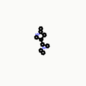 c1ccc(-c2cc(-c3cc4cc(c3)-c3ccccc3-c3cc5ccccc5cc3Nc3ccccc3-4)ccc2Nc2cccc3ccccc23)cc1